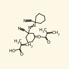 C=C(C)C(=O)O.C=C(C)C(=O)O.N#CC1(N=NC2(C#N)CCCCC2)CCCCC1